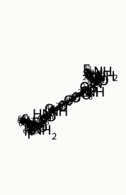 CC(=O)N[C@@H](CSc1nc2c(=O)[nH]c(N)nc2n1Cc1ccc(F)cc1)C(=O)NCCCOCCOCCOCCCNC(=O)C(=O)Nc1ccc(C(=O)c2sc3nc(-c4cccs4)cc(C(F)(F)F)c3c2N)cc1